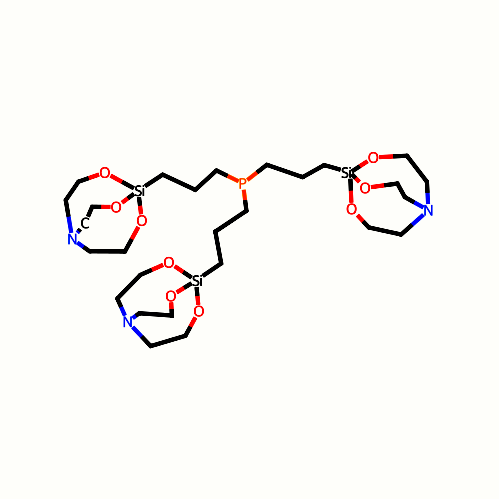 C(CP(CCC[Si]12OCCN(CCO1)CCO2)CCC[Si]12OCCN(CCO1)CCO2)C[Si]12OCCN(CCO1)CCO2